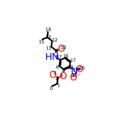 CCC(=O)Oc1cc(NC(=O)CCC(C)C)ccc1[N+](=O)[O-]